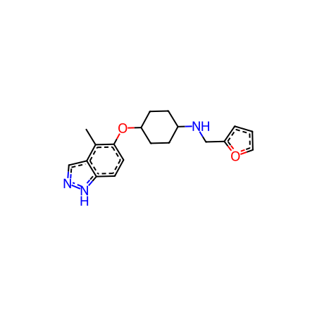 Cc1c(OC2CCC(NCc3ccco3)CC2)ccc2[nH]ncc12